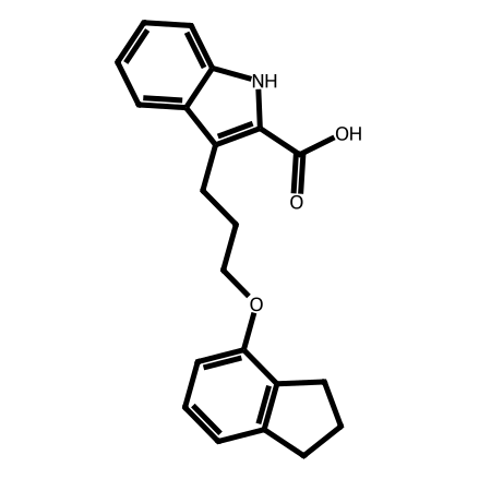 O=C(O)c1[nH]c2ccccc2c1CCCOc1cccc2c1CCC2